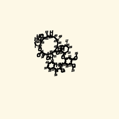 CC[C@H]1OC(=O)[C@H](C)[C@@H](O)[C@H](C)[C@@H](O[C@@H]2O[C@H](C)CC[C@H]2Oc2cc(OC)c(OC)cc2NC(=O)N(C)c2ccccc2)[C@](C)(O)C[C@@H](C)CN[C@H](C)[C@@H](O)[C@]1(C)O